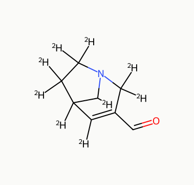 [2H]C1=C(C=O)C([2H])([2H])N2C([2H])C1([2H])C([2H])([2H])C2([2H])[2H]